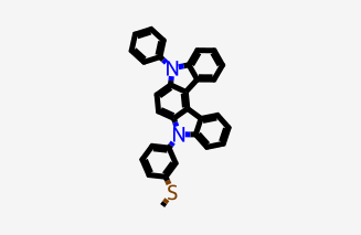 CSc1cccc(-n2c3ccccc3c3c4c5ccccc5n(-c5ccccc5)c4ccc32)c1